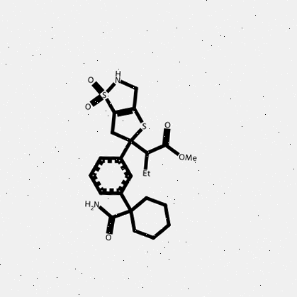 CCC(C(=O)OC)C1(c2cccc(C3(C(N)=O)CCCCC3)c2)CC2=C(CNS2(=O)=O)S1